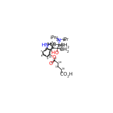 BC(O)(c1c[nH]c2cccc(OC(=O)CCCC(=O)O)c12)C(B)(B)N(C(C)C)C(C)C